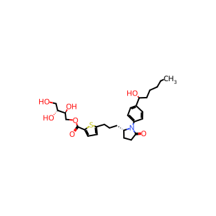 CCCCC[C@H](O)c1ccc(N2C(=O)CC[C@@H]2CCCc2ccc(C(=O)OC[C@H](O)[C@H](O)CO)s2)cc1